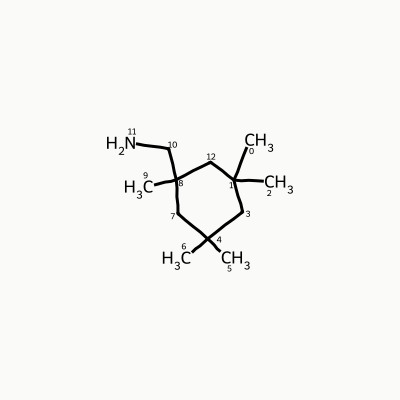 CC1(C)CC(C)(C)CC(C)(CN)C1